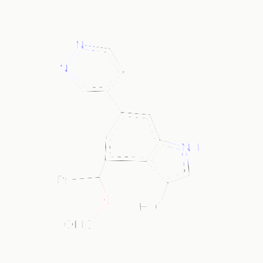 Cc1c[nH]c2cc(-c3ccnnc3)cc(C(OC=O)C(C)C)c12